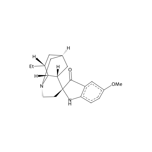 CC[C@@H]1C[C@H]2C[C@H]3[C@@H]1[N@](CC[C@@]31Nc3ccc(OC)cc3C1=O)C2